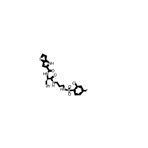 CC(C)C[C@@H](NC(=O)c1cc2sccc2[nH]1)C(=O)NCCCNS(=O)(=O)c1ccc(F)cc1Cl